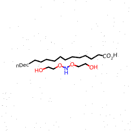 CCCCCCCCCCCCCCCCCCCCCC(=O)O.OCCONOCCO